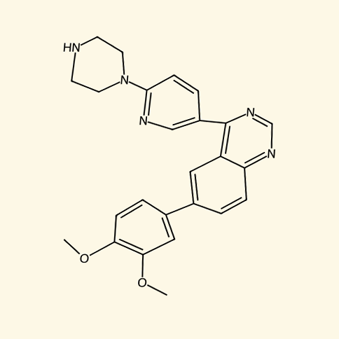 COc1ccc(-c2ccc3ncnc(-c4ccc(N5CCNCC5)nc4)c3c2)cc1OC